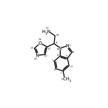 Cc1ccc2c(cnn2C(CN)c2cnco2)c1